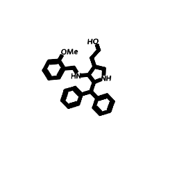 COc1ccccc1CNC1C(CCO)CNC1C(c1ccccc1)c1ccccc1